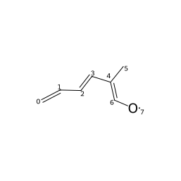 C=CC=CC(C)=C[O]